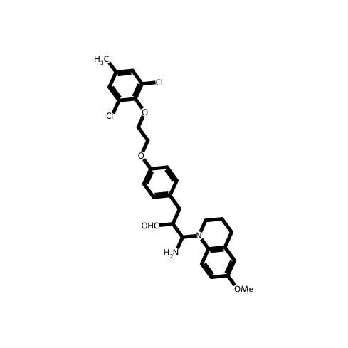 COc1ccc2c(c1)CCCN2C(N)C(C=O)Cc1ccc(OCCOc2c(Cl)cc(C)cc2Cl)cc1